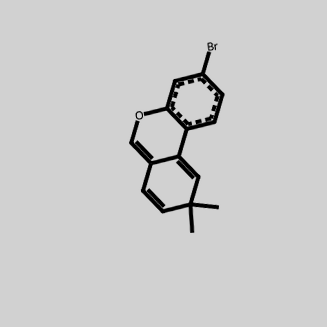 CC1(C)C=CC2=COc3cc(Br)ccc3C2=C1